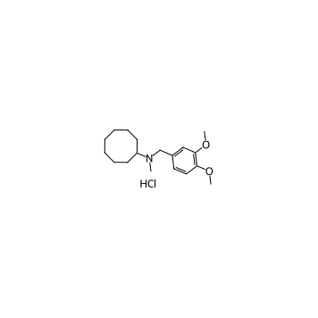 COc1ccc(CN(C)C2CCCCCCC2)cc1OC.Cl